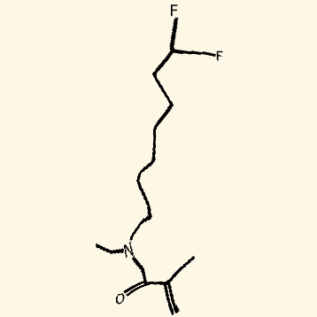 C=C(C)C(=O)N(C)CCCCCCC(F)F